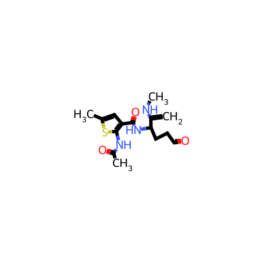 C=C(NC)C(CCC=O)NC(=O)c1cc(C)sc1NC(C)=O